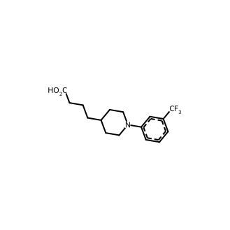 O=C(O)CCCC1CCN(c2cccc(C(F)(F)F)c2)CC1